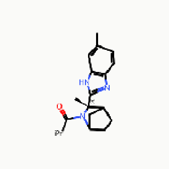 Cc1ccc2nc([C@]3(C)C4CCC(C4)N3C(=O)C(C)C)[nH]c2c1